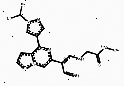 CCC(CC)n1cc(-c2nc(/C(C=N)=C/NCC(=O)NC(C)C)cn3nccc23)cn1